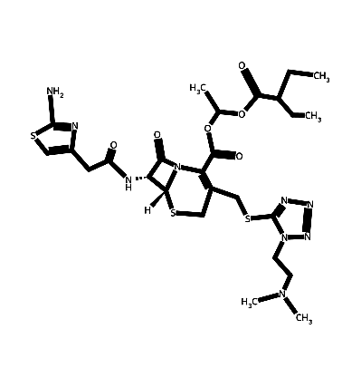 CCC(CC)C(=O)OC(C)OC(=O)C1=C(CSc2nnnn2CCN(C)C)CS[C@@H]2[C@H](NC(=O)Cc3csc(N)n3)C(=O)N12